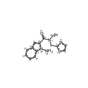 CCCN(Cc1nccs1)C(=O)c1cc2ccccc2n1N